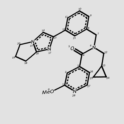 COc1cc(C(=O)N(Cc2cccc(-c3cn4c(n3)CCC4)c2)CC2CC2)ccn1